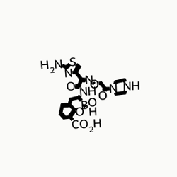 Nc1nc(C(=NOCC(=O)N2CCNCC2)C(=O)NC2Cc3cccc(C(=O)O)c3OB2O)cs1